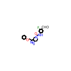 Cn1nc(COc2ccccc2)c2c1CCN(C(=O)Nc1ccc(C=O)c(F)c1)C2